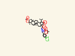 CC(=O)OC1CCC2(C)C(CCC3(C)C2CCC2C4=C(C(C)C)C(=O)CC4(C(=O)CN(Cc4ccc(Cl)cc4)C(=O)OC(C)(C)C)CCC23C)C1(C)C